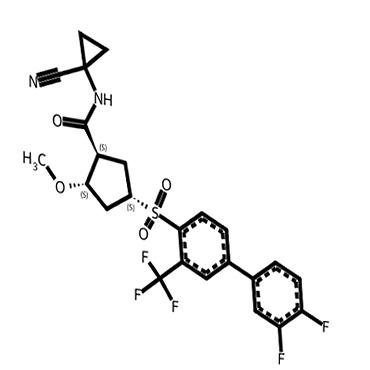 CO[C@H]1C[C@@H](S(=O)(=O)c2ccc(-c3ccc(F)c(F)c3)cc2C(F)(F)F)C[C@@H]1C(=O)NC1(C#N)CC1